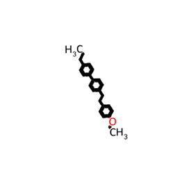 CCCc1ccc(-c2ccc(CCc3ccc(OCC)cc3)cc2)cc1